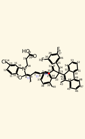 C=C(/C=C/C=C/C(C)=C1/Oc2ccc(Cl)cc2N1CCC(=O)O)C(Cc1cc(F)cc(F)c1)(Cc1ccccc1C)c1c(C)c2ccccc2c2ccccc12